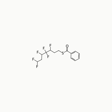 O=C(SCCC(F)C(F)(F)C(F)CC(F)F)c1ccccc1